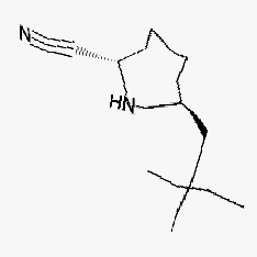 CC(C)(C)C[C@@H]1CC[C@@H](C#N)N1